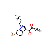 COC(=O)C(=O)c1cn(CCC(F)(F)F)c2cc(Br)ccc12